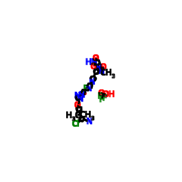 Cn1c(=O)n(C2CCC(=O)NC2=O)c2ccc(C3CCN(C4CCN(CC5(F)CCN(c6nccc(COc7ccc(C(C)(C)c8cc(Cl)cc(C#N)c8)cc7)n6)CC5)CC4)CC3)cc21.O=C(O)C(F)(F)F